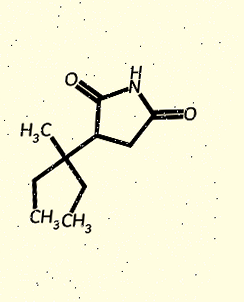 CCC(C)(CC)C1CC(=O)NC1=O